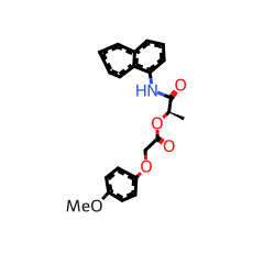 COc1ccc(OCC(=O)O[C@H](C)C(=O)Nc2cccc3ccccc23)cc1